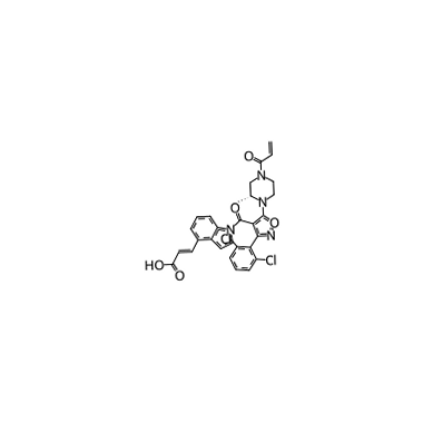 C=CC(=O)N1CCN(c2onc(-c3c(Cl)cccc3Cl)c2C(=O)n2ccc3c(/C=C/C(=O)O)cccc32)[C@H](C)C1